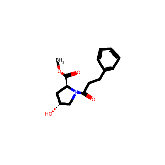 BOC(=O)[C@@H]1C[C@@H](O)CN1C(=O)CCc1ccccc1